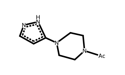 CC(=O)N1CCN(c2ccn[nH]2)CC1